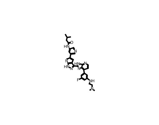 CC(C)CC(=O)Nc1cncc(-c2cnc3[nH]nc(-c4nc5c(-c6cc(F)cc(NCCN(C)C)c6)ccnc5[nH]4)c3c2)c1